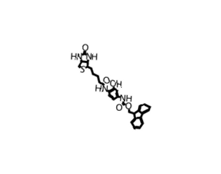 O=C(CCCCC1SCC2NC(=O)NC21)Nc1ccc(NC(=O)OCC2c3ccccc3-c3ccccc32)cc1O